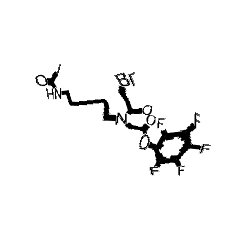 O=C(I)NCCCCN(CC(=O)Oc1c(F)c(F)c(F)c(F)c1F)C(=O)CBr